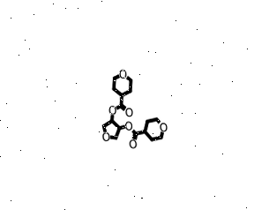 O=C(OC1COCC1OC(=O)C1CCOCC1)C1CCOCC1